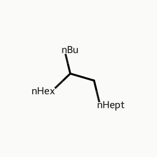 CC[CH]CC(CCCCCC)CCCCCCCC